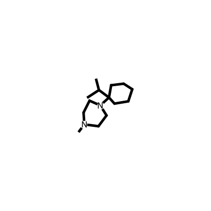 CC(C)C1(N2CCN(C)CC2)CCCCC1